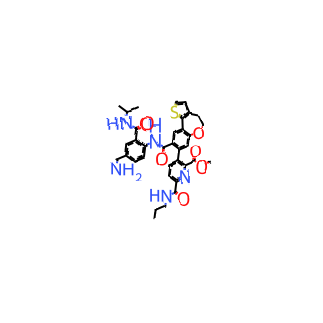 CCCNC(=O)c1ccc(-c2cc3c(cc2C(=O)Nc2ccc(CN)cc2C(=O)NC(C)C)-c2sccc2CCO3)c(C(=O)OC)n1